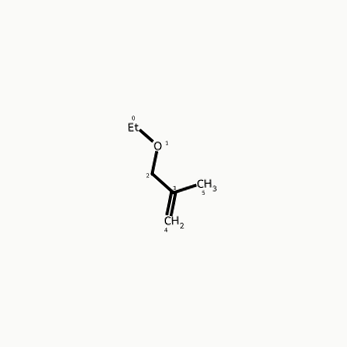 [CH2]COCC(=C)C